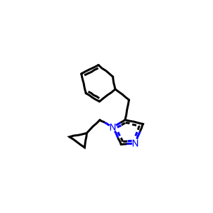 C1=CCC(Cc2cncn2CC2CC2)C=C1